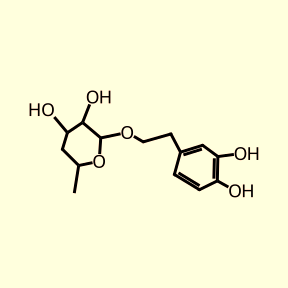 CC1CC(O)C(O)C(OCCc2ccc(O)c(O)c2)O1